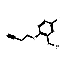 C#CCCOc1ccc(F)cc1CO